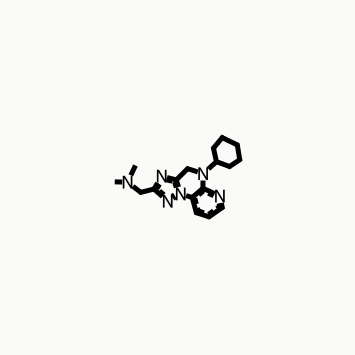 CN(C)Cc1nc2n(n1)-c1cccnc1N(C1CCCCC1)C2